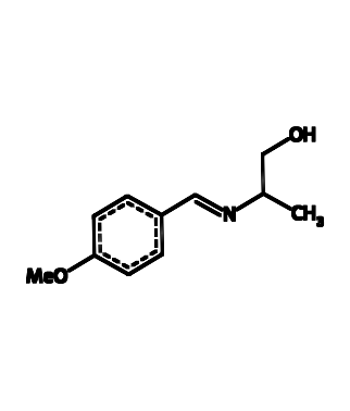 COc1ccc(C=NC(C)CO)cc1